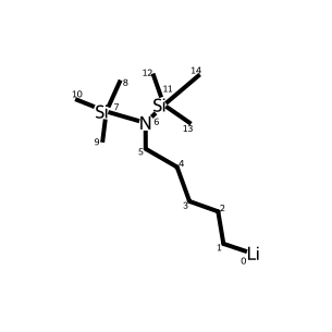 [Li][CH2]CCCCN([Si](C)(C)C)[Si](C)(C)C